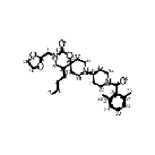 CCCCC1CN(CC2OCCO2)C(=O)OC12CCN(C1CCN(C(=O)c3c(C)cccc3C)CC1)CC2